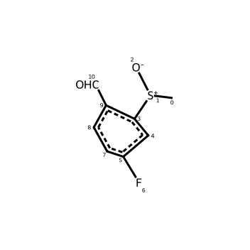 C[S+]([O-])c1cc(F)ccc1C=O